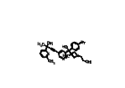 Cc1cccc(C(C)(O)C#Cc2cncc(C(O)(c3ccc(C(C)C)cc3)C3(C)CN(CCO)C3)c2)n1